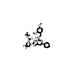 COc1ccc(CNc2nc(-c3ccccc3)cc3nc([C@@H]4CC(F)(F)CN4C(=O)OC(C)(C)C)nn23)c(OC)c1